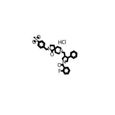 CS(=O)(=O)c1ccc(CN2CCC3(CCN(CC4CN(C(=O)c5ccccc5F)CC4c4ccccc4)CC3)C2=O)cc1.Cl